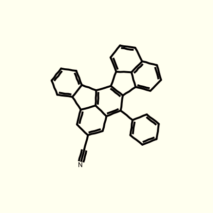 N#Cc1cc2c(-c3ccccc3)c3c4cccc5cccc(c54)c3c3c4ccccc4c(c1)c23